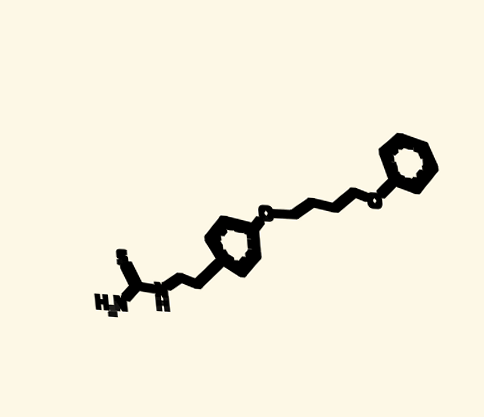 NC(=S)NCCc1ccc(OCCCCOc2ccccc2)cc1